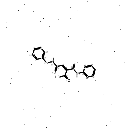 O=C(C=C(C(=O)O)C(=O)Nc1ccccc1)NSc1ccccc1